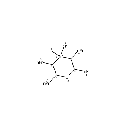 CCCC1OC(CCC)C(CCC)[N+](C)([O-])C1CCC